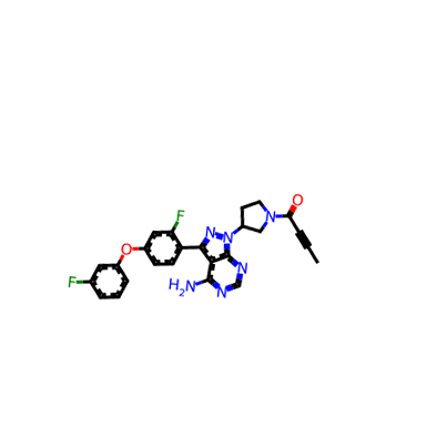 CC#CC(=O)N1CCC(n2nc(-c3ccc(Oc4cccc(F)c4)cc3F)c3c(N)ncnc32)C1